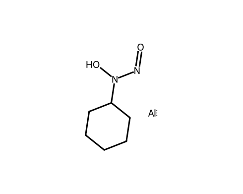 O=NN(O)C1CCCCC1.[Al]